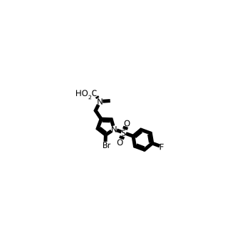 CN(Cc1cc(Br)n(S(=O)(=O)c2ccc(F)cc2)c1)C(=O)O